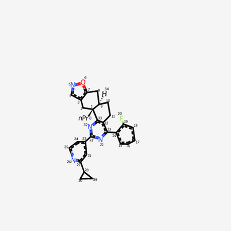 CCC[C@@]12Cc3cnoc3C[C@H]1CCc1c(-c3ccccc3F)nc(-c3ccnc(C4CC4)c3)nc12